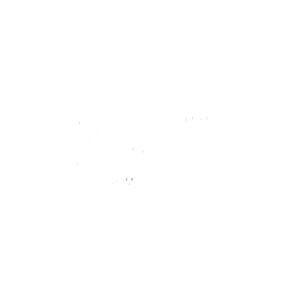 CCCCCCCCCCc1oc(OC)c(C)c(=O)c1C